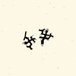 CC(C)CC(C#N)(CC(C)C)C(C)(C)C.CC(C)CC(C)(C#N)C(C)(C#N)CC(C)C